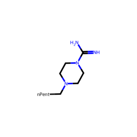 CCCCCCN1CCN(C(=N)N)CC1